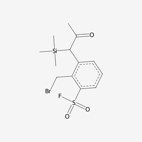 CC(=O)C(c1cccc(S(=O)(=O)F)c1CBr)[Si](C)(C)C